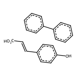 O=C(O)C=Cc1ccc(O)cc1.c1ccc(-c2ccccc2)cc1